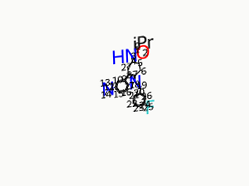 CC(C)C(=O)NC1CCc2c(c3cc(N(C)C)ccc3n2Cc2cccc(F)c2)C1